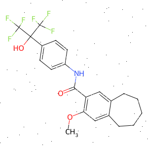 COc1cc2c(cc1C(=O)Nc1ccc(C(O)(C(F)(F)F)C(F)(F)F)cc1)CCCCC2